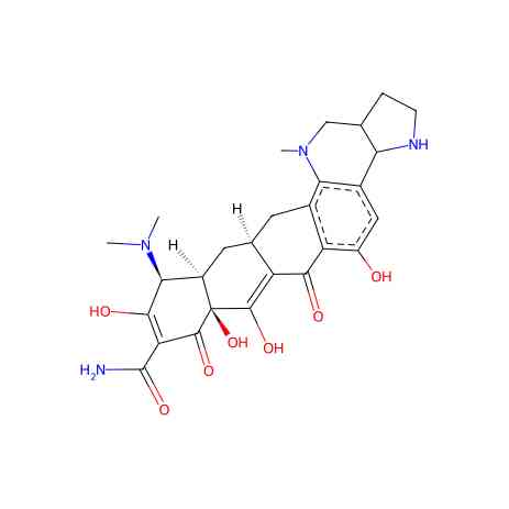 CN1CC2CCNC2c2cc(O)c3c(c21)C[C@@H]1C[C@@H]2[C@H](N(C)C)C(O)=C(C(N)=O)C(=O)[C@@]2(O)C(O)=C1C3=O